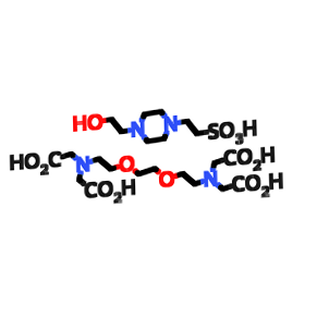 O=C(O)CN(CCOCCOCCN(CC(=O)O)CC(=O)O)CC(=O)O.O=S(=O)(O)CCN1CCN(CCO)CC1